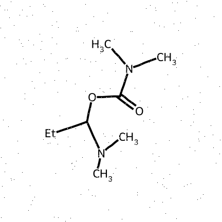 CCC(OC(=O)N(C)C)N(C)C